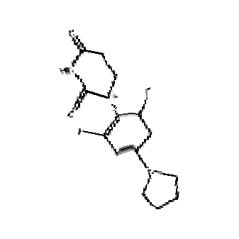 O=C1CC[C@H](C2=C(F)C=C(N3CCCC3)CC2F)C(=O)N1